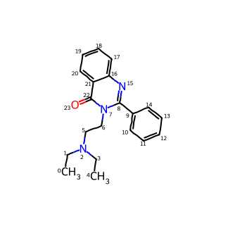 CCN(CC)CCn1c(-c2ccccc2)nc2ccccc2c1=O